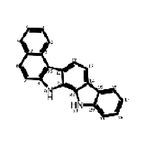 c1ccc2c(c1)ccc1[nH]c3c(ccc4c5ccccc5[nH]c43)c12